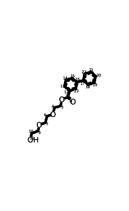 O=C(OCCOCCOCCO)c1cccc(-c2ccccc2)c1